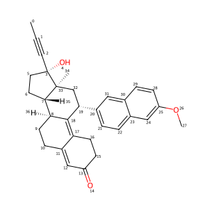 CC#C[C@]1(O)CC[C@H]2[C@@H]3CCC4=CC(=O)CCC4=C3[C@@H](c3ccc4cc(OC)ccc4c3)C[C@@]21C